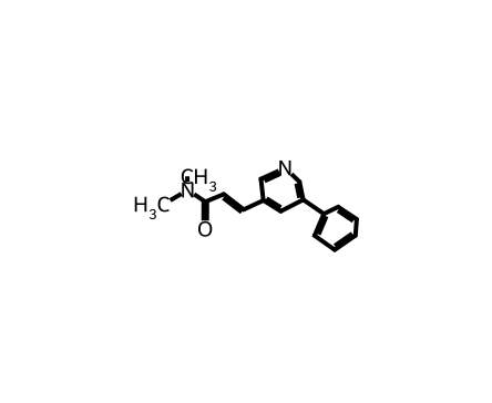 CN(C)C(=O)C=Cc1cncc(-c2ccccc2)c1